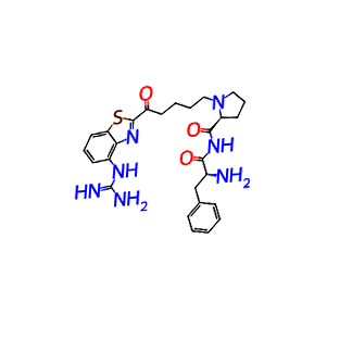 N=C(N)Nc1cccc2sc(C(=O)CCCCN3CCC[C@H]3C(=O)NC(=O)[C@@H](N)Cc3ccccc3)nc12